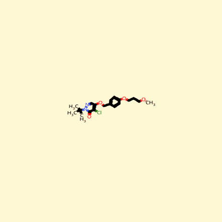 COCCCOc1ccc(COc2cnn(C(C)(C)C)c(=O)c2Cl)cc1